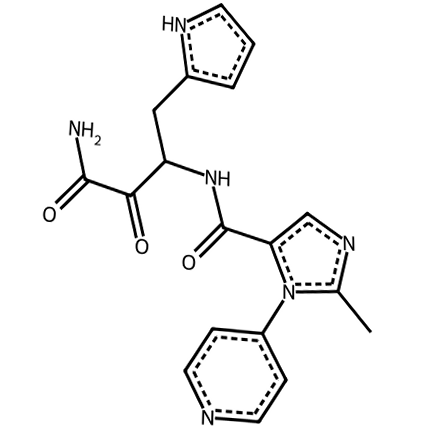 Cc1ncc(C(=O)NC(Cc2ccc[nH]2)C(=O)C(N)=O)n1-c1ccncc1